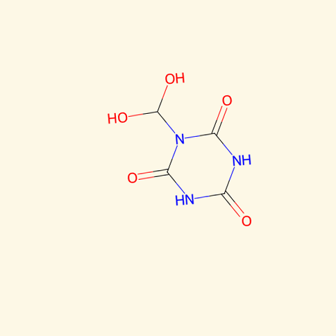 O=c1[nH]c(=O)n(C(O)O)c(=O)[nH]1